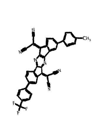 Cc1ccc(-c2ccc3c(c2)-c2nc4c(nc2C3=C(C#N)C#N)-c2ccc(-c3ccc(C(F)(F)F)cc3)cc2C4=C(C#N)C#N)cc1